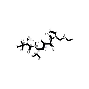 CCOCn1ccnc1C(=O)/C(C)=C/[C@H](C(C)C)N(C)C(=O)[C@@H](N)C(C)(C)C